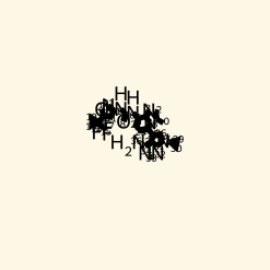 Cc1cnc2c(NC(=O)Nc3cc(C4(C(F)(F)F)CC4)on3)ccc(-c3cn(C4CC4)c4ncnc(N)c34)n12